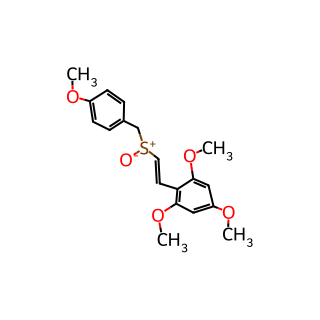 COc1ccc(C[S+]([O-])/C=C/c2c(OC)cc(OC)cc2OC)cc1